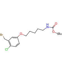 CC(C)(C)OC(=O)NCCCCCOc1ccc(Cl)c(CBr)c1